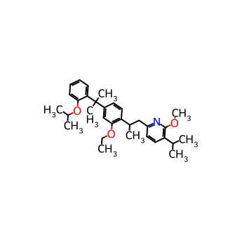 CCOc1cc(C(C)(C)c2ccccc2OC(C)C)ccc1C(C)Cc1ccc(C(C)C)c(OC)n1